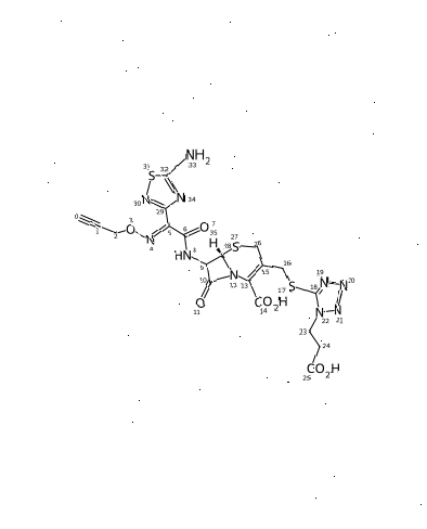 C#CCON=C(C(=O)NC1C(=O)N2C(C(=O)O)=C(CSc3nnnn3CCC(=O)O)CS[C@@H]12)c1nsc(N)n1